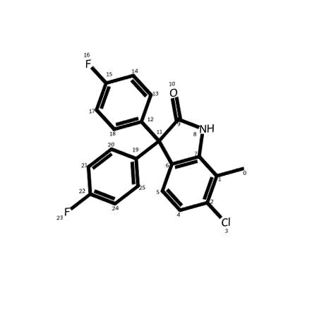 Cc1c(Cl)ccc2c1NC(=O)C2(c1ccc(F)cc1)c1ccc(F)cc1